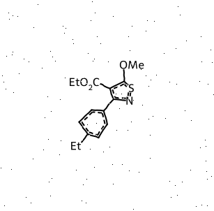 CCOC(=O)c1c(-c2ccc(CC)cc2)nsc1OC